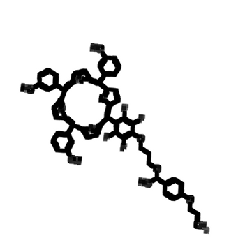 C=CCOc1ccc(C(O)OCCCOc2c(F)c(F)c(-c3c4nc(c(-c5cccc(O)c5)c5ccc([nH]5)c(-c5cccc(O)c5)c5nc(c(-c6cccc(O)c6)c6ccc3[nH]6)C=C5)C=C4)c(F)c2F)cc1